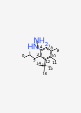 CCCc1c(NN)cc(C)c(C)c1C(C)(C)C